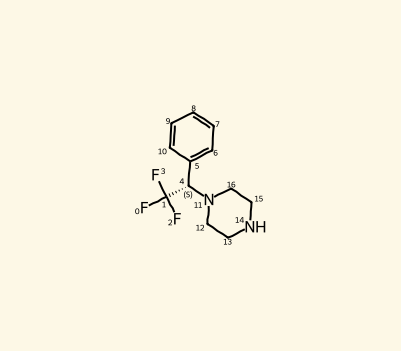 FC(F)(F)[C@H](c1ccccc1)N1CCNCC1